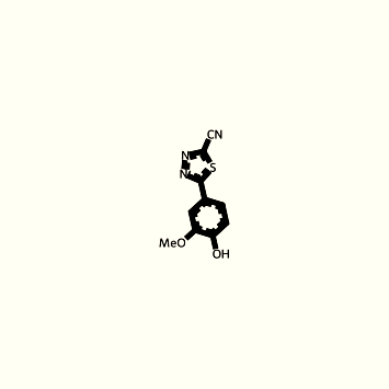 COc1cc(-c2nnc(C#N)s2)ccc1O